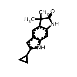 CC1(C)C(=O)Nc2cc3[nH]c(C4CC4)cc3cc21